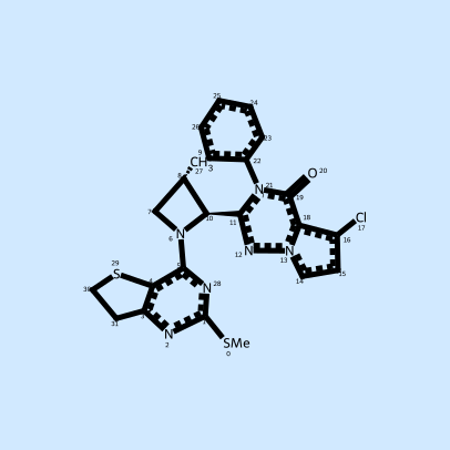 CSc1nc2c(c(N3C[C@H](C)[C@H]3c3nn4ccc(Cl)c4c(=O)n3-c3ccccc3)n1)SCC2